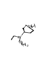 C=CN(N)C1CCNCC1